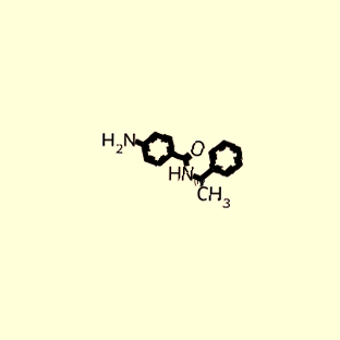 C[C@@H](NC(=O)c1ccc(N)cc1)c1ccccc1